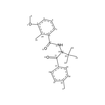 COc1cccc(C(=O)NN(C(=O)c2ccc(C)cc2)C(C)(C)C)c1C